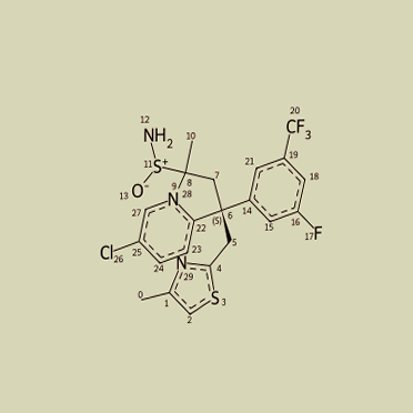 Cc1csc(C[C@@](CC(C)(C)[S+](N)[O-])(c2cc(F)cc(C(F)(F)F)c2)c2ccc(Cl)cn2)n1